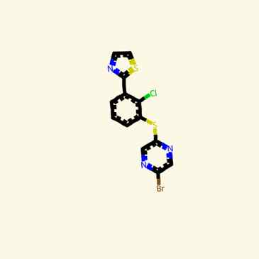 Clc1c(Sc2cnc(Br)cn2)cccc1-c1nccs1